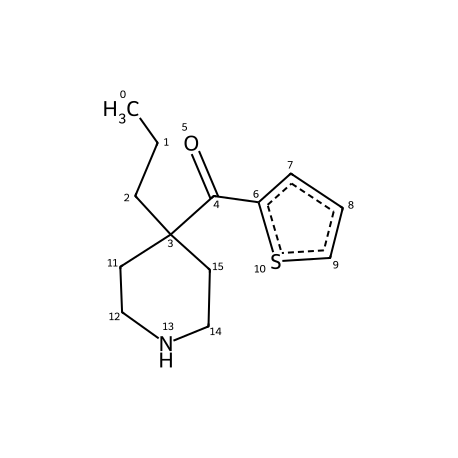 CCCC1(C(=O)c2cccs2)CCNCC1